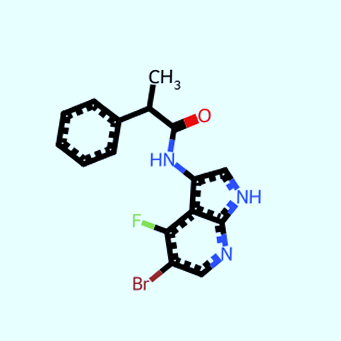 CC(C(=O)Nc1c[nH]c2ncc(Br)c(F)c12)c1ccccc1